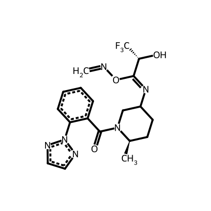 C=NO/C(=N\C1CC[C@@H](C)N(C(=O)c2ccccc2-n2nccn2)C1)[C@@H](O)C(F)(F)F